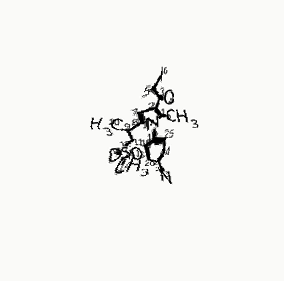 Cc1c(C(=O)CI)cc(C(C)CCS(C)(=O)=O)n1-c1ccc(C#N)cc1